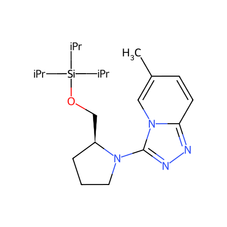 Cc1ccc2nnc(N3CCC[C@H]3CO[Si](C(C)C)(C(C)C)C(C)C)n2c1